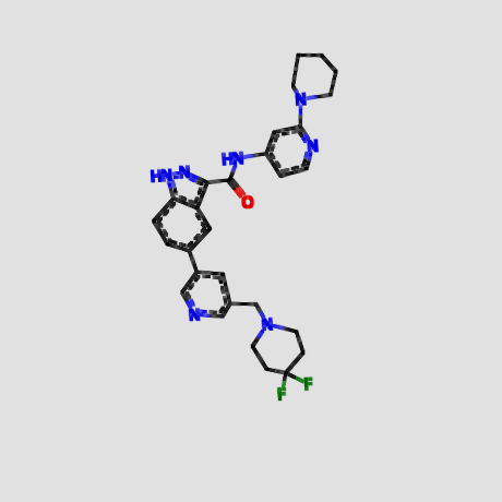 O=C(Nc1ccnc(N2CCCCC2)c1)c1n[nH]c2ccc(-c3cncc(CN4CCC(F)(F)CC4)c3)cc12